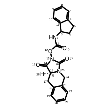 O=C(NC1CCc2ccccc21)ON1C(=O)[C@@H]2Cc3ccccc3CN2C1=O